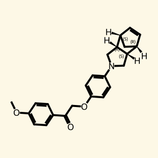 COc1ccc(C(=O)COc2ccc(N3C[C@@H]4[C@H](C3)[C@@H]3C=C[C@H]4C3)cc2)cc1